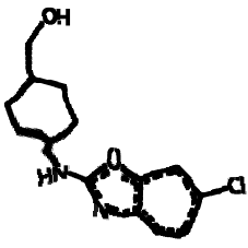 OCC1CCC(Nc2nc3ccc(Cl)cc3o2)CC1